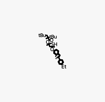 CCc1ccc(-c2cc3ccc(OC(C)(S)CC(C)(C)OC(=O)C(C)(CC(C)(C)C)C(C)(C)C)cc3s2)cc1